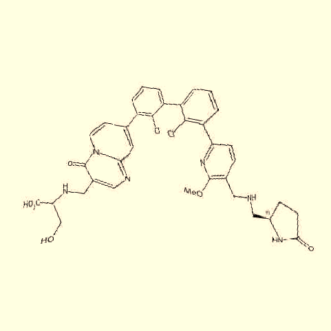 COc1nc(-c2cccc(-c3cccc(-c4ccn5c(=O)c(CNC(CO)C(=O)O)cnc5c4)c3Cl)c2Cl)ccc1CNC[C@H]1CCC(=O)N1